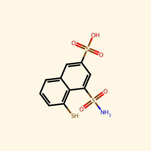 NS(=O)(=O)c1cc(S(=O)(=O)O)cc2cccc(S)c12